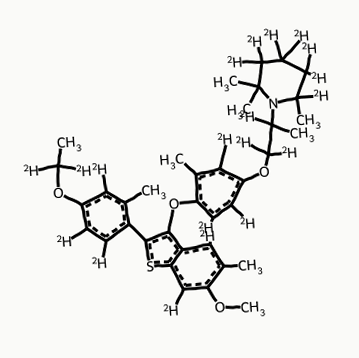 [2H]c1c([2H])c(Oc2c(-c3c([2H])c([2H])c(OC([2H])([2H])C)c([2H])c3C)sc3c([2H])c(OC)c(C)c([2H])c23)c(C)c([2H])c1OC([2H])([2H])C([2H])(C)N1C([2H])(C)C([2H])([2H])C([2H])([2H])C([2H])([2H])C1(C)C